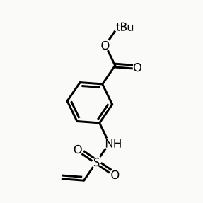 C=CS(=O)(=O)Nc1cccc(C(=O)OC(C)(C)C)c1